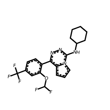 FC(F)Oc1cc(C(F)(F)F)ccc1-c1nnc(NC2CCCCC2)n2cccc12